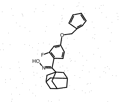 ON=C(c1ccc(OCc2ccccc2)cc1F)C12CC3CC(CC(C3)C1)C2